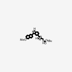 COc1ccc2cc(-c3n[nH]c4ccc(-c5nc(CNC(=O)OC(C)(C)C)n[nH]5)cc34)ccc2c1